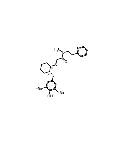 CN(CCc1ccccn1)C(=O)CS[C@@H]1CCCC[C@H]1Sc1cc(C(C)(C)C)c(O)c(C(C)(C)C)c1